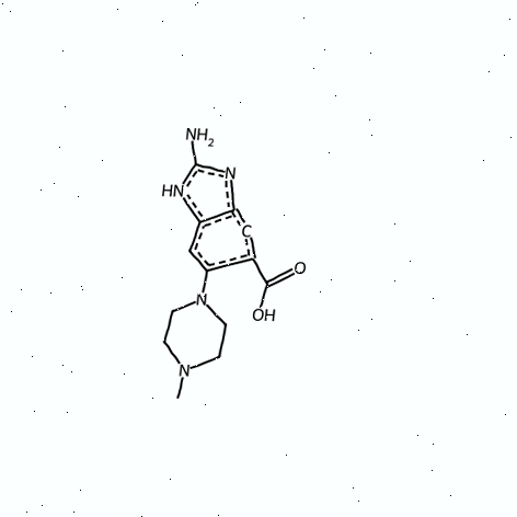 CN1CCN(c2cc3[nH]c(N)nc3cc2C(=O)O)CC1